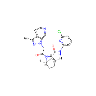 CC(=O)c1nn(CC(=O)N2[C@@H]3CC[C@@H](C3)[C@H]2C(=O)Nc2cccc(Cl)n2)c2cnccc12